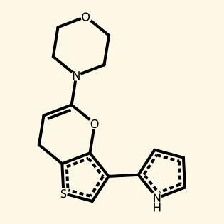 C1=C(N2CCOCC2)Oc2c(-c3ccc[nH]3)csc2C1